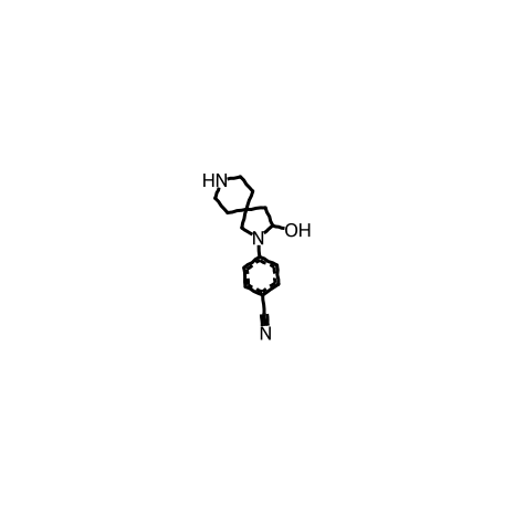 N#Cc1ccc(N2CC3(CCNCC3)CC2O)cc1